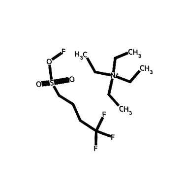 CC[N+](CC)(CC)CC.O=S(=O)(CCCC(F)(F)F)OF